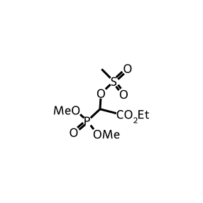 CCOC(=O)C(OS(C)(=O)=O)P(=O)(OC)OC